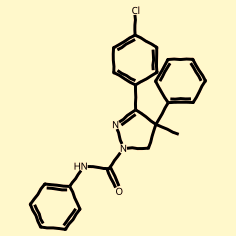 CC1(c2ccccc2)CN(C(=O)Nc2ccccc2)N=C1c1ccc(Cl)cc1